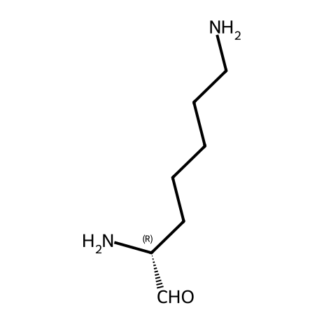 NCCCCC[C@@H](N)C=O